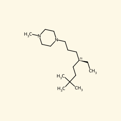 CC[C@H](CCCN1CCN(C)CC1)CCC(C)(C)C